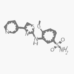 COc1ccc(S(N)(=O)=O)cc1Nc1nc(-c2cccnc2)cs1